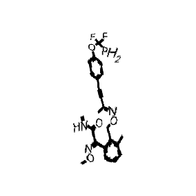 CNC(=O)/C(=N/OC)c1cccc(C)c1CO/N=C(\C)C#Cc1ccc(OC(F)(F)P)cc1